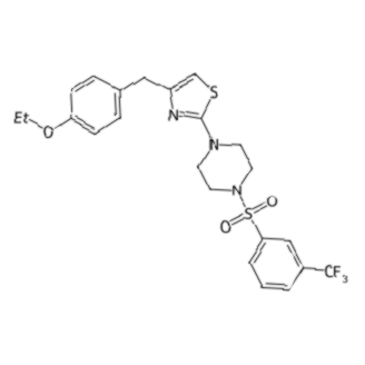 CCOc1ccc(Cc2csc(N3CCN(S(=O)(=O)c4cccc(C(F)(F)F)c4)CC3)n2)cc1